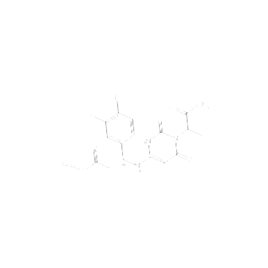 CC(C(=O)C(F)(F)F)n1c(=O)cc(N[C@H](CC(=O)OC(C)(C)C)c2ccc(F)c(F)c2)[nH]c1=O